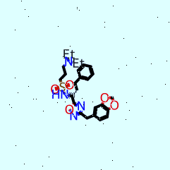 CCN(CC)CCCS(=O)(=O)N[C@H](CCc1ccccc1)c1nc(Cc2ccc3c(c2)OCO3)no1